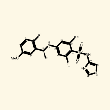 COc1ccc(F)c([C@H](C)Nc2cc(F)c(S(=O)(=O)Nc3cscn3)c(F)c2)c1